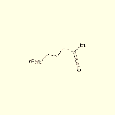 CCCCCCCCC(=C=O)CC